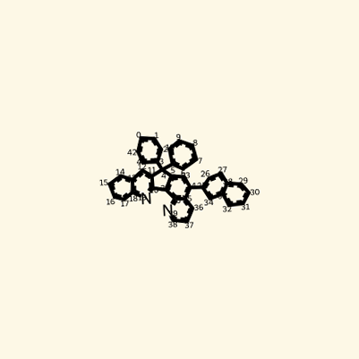 c1ccc(C2(c3ccccc3)c3cc4ccccc4nc3-c3c2cc(-c2ccc4ccccc4c2)c2cccnc32)cc1